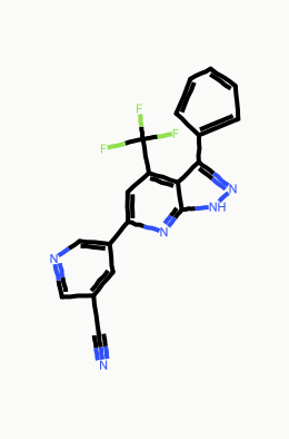 N#Cc1cncc(-c2cc(C(F)(F)F)c3c(-c4ccccc4)n[nH]c3n2)c1